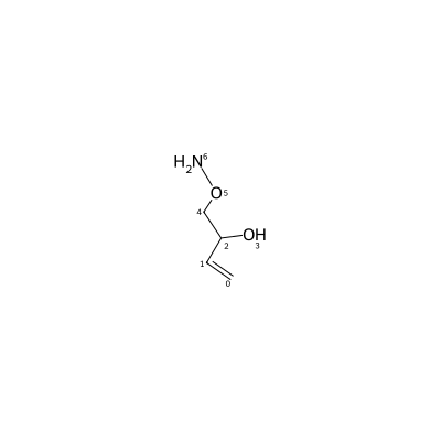 C=CC(O)CON